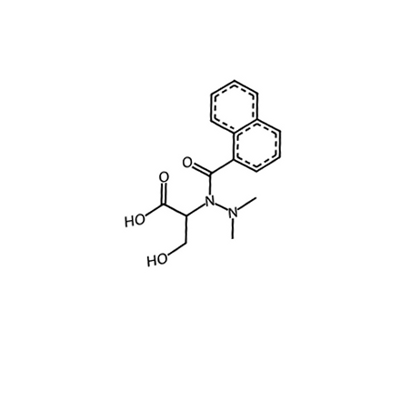 CN(C)N(C(=O)c1cccc2ccccc12)C(CO)C(=O)O